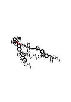 CCn1c2ccc(CNC)cc2c2ccc(-c3cc(C#CC(=O)NCCOCCNC(=O)C4[C@@H]5CC[C@H]4CN(c4ccc6c(c4)CC[C@H](NC(=O)c4sc7nc(C)ccc7c4N)C6)C5)cs3)cc21